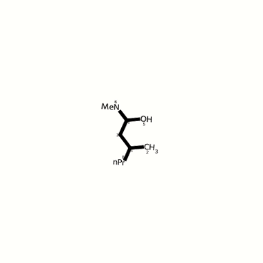 CCCC(C)CC(O)NC